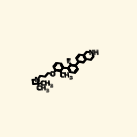 Cc1c(OCCCN2CCC2(C)C)cccc1-c1cccc(-c2ccc3c(c2)CCNC3)c1F